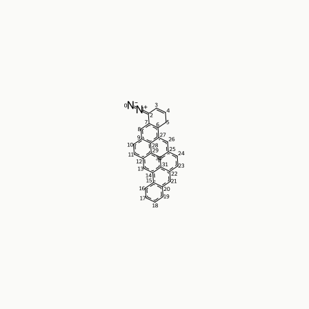 [N-]=[N+]=C1C=CCc2c1cc1ccc3cc4c5ccccc5cc5ccc6cc2c1c3c6c54